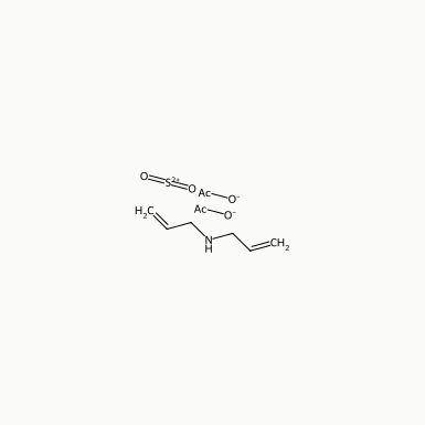 C=CCNCC=C.CC(=O)[O-].CC(=O)[O-].O=[S+2]=O